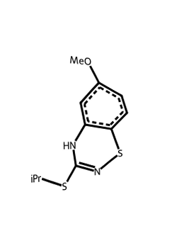 COc1ccc2c(c1)NC(SC(C)C)=NS2